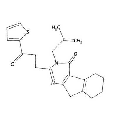 C=C(C)Cn1c(CCC(=O)c2cccs2)nc2c(c1=O)C1=C(CCCC1)C2